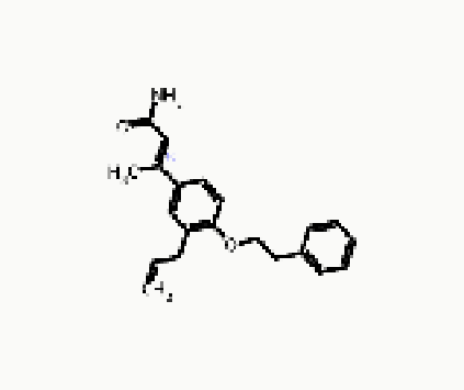 C=CCc1cc(/C(C)=C/C(N)=O)ccc1OCCc1ccccc1